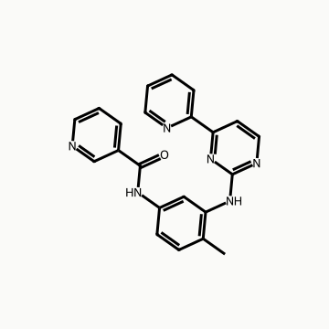 Cc1ccc(NC(=O)c2cccnc2)cc1Nc1nccc(-c2ccccn2)n1